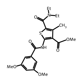 CCN(CC)C(=O)c1sc(NC(=O)c2cc(OC)cc(OC)c2)c(C(=O)OC)c1C